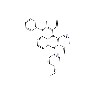 C=CC1=C(C)N(c2ccccc2)c2cccc3c2B1C(/C=C\C)=C(C=C)N3C(/C=C\C=C/C)=C/C